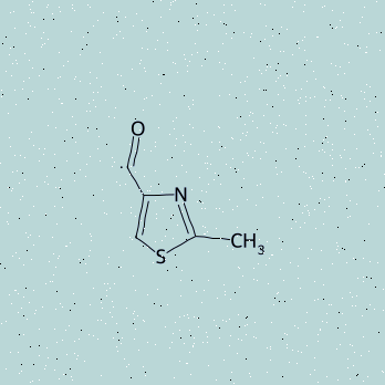 Cc1nc([C]=O)cs1